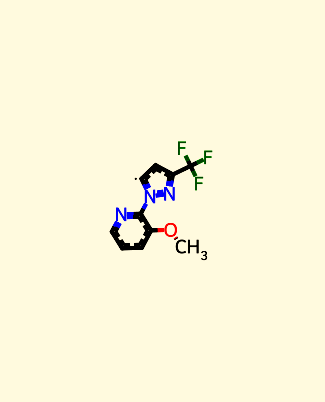 COc1cccnc1-n1[c]cc(C(F)(F)F)n1